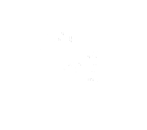 CC(C)(C)OC(=O)N[C@@H](CC(=O)NC(c1ccccc1)(c1ccccc1)c1ccccc1)C(=O)N=[S@@](C)(=O)Cc1cc2cc(c1)OCCCCOc1cc(F)ccc1-c1nc(ncc1F)N2